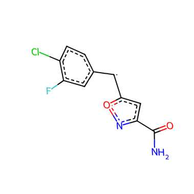 NC(=O)c1cc([CH]c2ccc(Cl)c(F)c2)on1